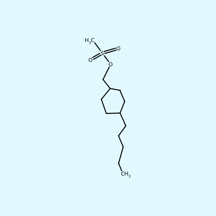 CCCCCC1CCC(COS(C)(=O)=O)CC1